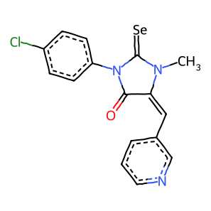 CN1C(=[Se])N(c2ccc(Cl)cc2)C(=O)C1=Cc1cccnc1